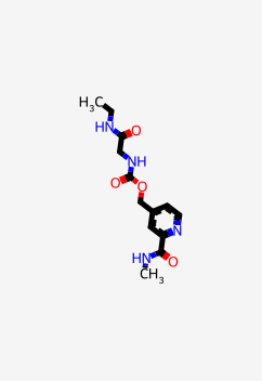 CCNC(=O)CNC(=O)OCc1ccnc(C(=O)NC)c1